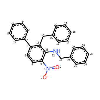 O=[N+]([O-])c1ccc(-c2ccccc2)c(Cc2ccccc2)c1NCc1ccccc1